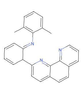 Cc1cccc(C)c1N=C1C=CC=CC1c1ccc2ccc3cccnc3c2n1